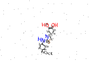 CCCCCCCCc1ccc(Nc2nc(-c3ccc(O)c(O)c3)cs2)cc1